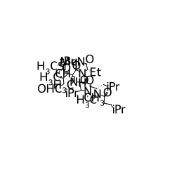 CC[C@H](NC(=O)[C@H]([C@@H](O[Si](C)(C)C(C)(C)C)[C@H](C)CC=O)N(C)C(=O)C(C(C)C)N(C)C(=O)[C@H](CC(C)C)N(C)C(=O)CCC(C)C)C(=O)NC